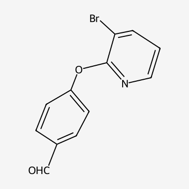 O=Cc1ccc(Oc2ncccc2Br)cc1